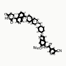 COc1cc2nn([C@H]3CC[C@H](CN4CCC5(CC4)CCN(c4cccc6c(N7CCC(=O)NC7=O)cncc46)CC5)CC3)cc2cc1NC(=O)c1cncc(C#N)c1